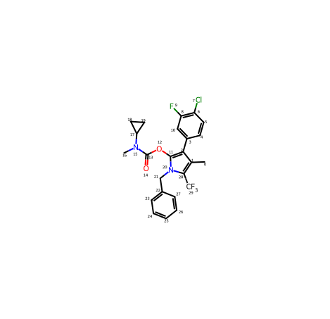 Cc1c(-c2ccc(Cl)c(F)c2)c(OC(=O)N(C)C2CC2)n(Cc2ccccc2)c1C(F)(F)F